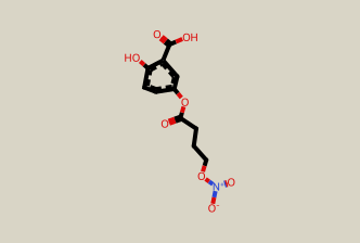 O=C(CCCO[N+](=O)[O-])Oc1ccc(O)c(C(=O)O)c1